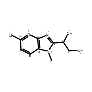 Cn1c(C(O)CO)nc2nc(Cl)ccc21